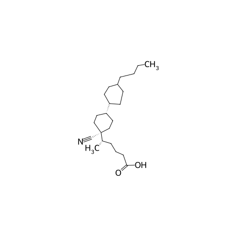 CCCCC1CCC([C@H]2CC[C@](C#N)([C@@H](C)CCCC(=O)O)CC2)CC1